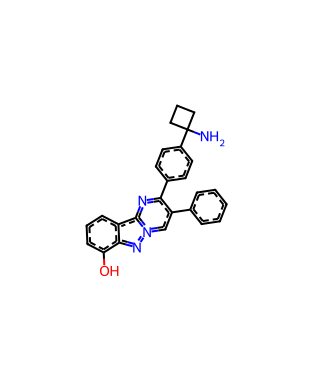 NC1(c2ccc(-c3nc4c5cccc(O)c5nn4cc3-c3ccccc3)cc2)CCC1